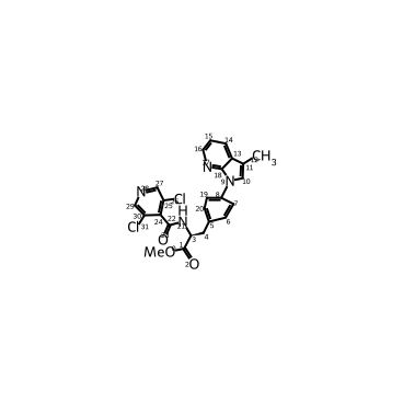 COC(=O)[C@H](Cc1ccc(-n2cc(C)c3cccnc32)cc1)NC(=O)c1c(Cl)cncc1Cl